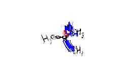 CCn1cc(-c2cc(C(=O)NC(C)c3cnccn3)cc(-c3ccc(C)cc3)c2)nn1